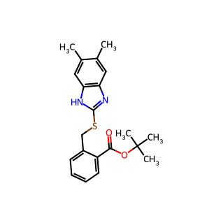 Cc1cc2nc(SCc3ccccc3C(=O)OC(C)(C)C)[nH]c2cc1C